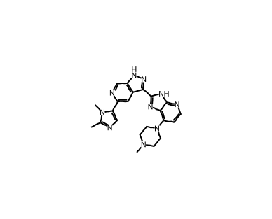 Cc1ncc(-c2cc3c(-c4nc5c(N6CCN(C)CC6)ccnc5[nH]4)n[nH]c3cn2)n1C